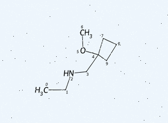 CCNCC1(OC)CCC1